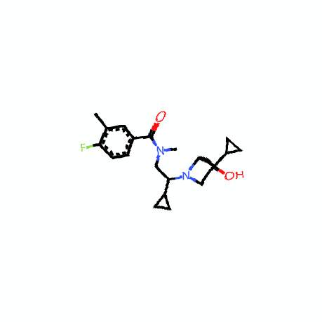 Cc1cc(C(=O)N(C)CC(C2CC2)N2CC(O)(C3CC3)C2)ccc1F